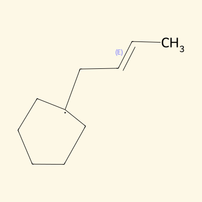 C/C=C/C[C]1CCCCC1